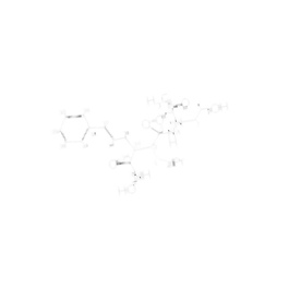 CC(C)C[C@@H](C(=O)NN(CCO)S(C)(=O)=O)[C@H](CC=Cc1ccccc1)C(=O)NO